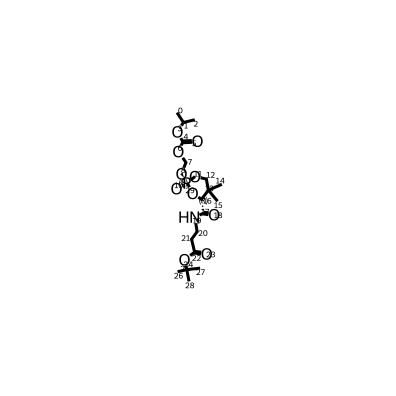 CC(C)OC(=O)OCO[P@@]1(=O)OCC(C)(C)[C@H](C(=O)NCCC(=O)OC(C)(C)C)O1